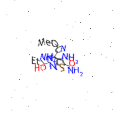 CC[C@@H](N)C(O)c1nc(-c2cncc(OC)c2)c2c(N)c(C(N)=O)sc2n1